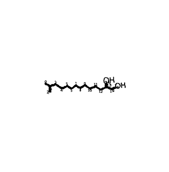 CC(C)CCCCCCCCCCC(O)CO